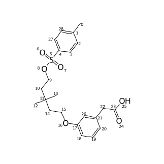 Cc1ccc(S(=O)(=O)OCCC(C)(C)CCOc2cccc(CC(=O)O)c2)cc1